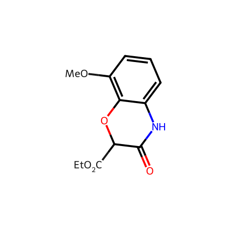 CCOC(=O)C1Oc2c(cccc2OC)NC1=O